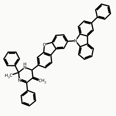 C=C1C(c2ccccc2)=NC(C)(c2ccccc2)NC1c1ccc2c(c1)oc1ccc(-n3c4ccccc4c4cc(-c5ccccc5)ccc43)cc12